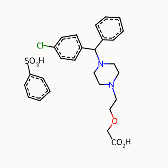 O=C(O)COCCN1CCN(C(c2ccccc2)c2ccc(Cl)cc2)CC1.O=S(=O)(O)c1ccccc1